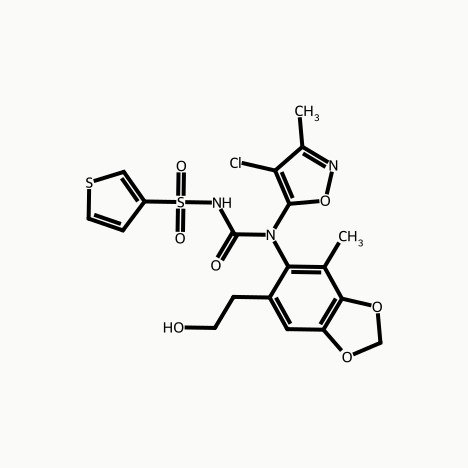 Cc1noc(N(C(=O)NS(=O)(=O)c2ccsc2)c2c(CCO)cc3c(c2C)OCO3)c1Cl